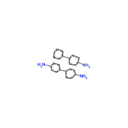 Nc1ccc(-c2ccc(N)cc2)cc1.Nc1ccc(-c2ccccc2)cc1